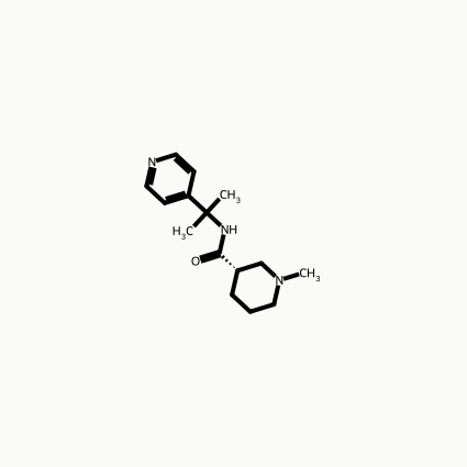 CN1CCC[C@H](C(=O)NC(C)(C)c2ccncc2)C1